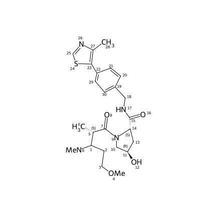 CNC(CCOC)[C@H](C)C(=O)N1C[C@H](O)C[C@H]1C(=O)NCc1ccc(-c2scnc2C)cc1